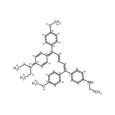 CCNc1ccc(C(=CC=CC(=C2C=CC(=[N+](CC)CC)C=C2)c2ccc(OC)cc2)c2ccc(OC)cc2)cc1